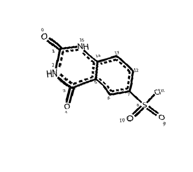 O=c1[nH]c(=O)c2cc(S(=O)(=O)Cl)ccc2[nH]1